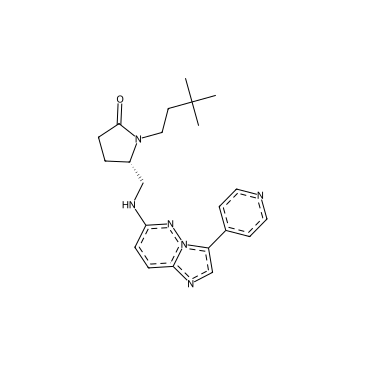 CC(C)(C)CCN1C(=O)CC[C@H]1CNc1ccc2ncc(-c3ccncc3)n2n1